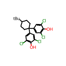 CC(C)(C)C1CCC(c2cc(Cl)c(O)c(Cl)c2)(c2cc(Cl)c(O)c(Cl)c2)CC1